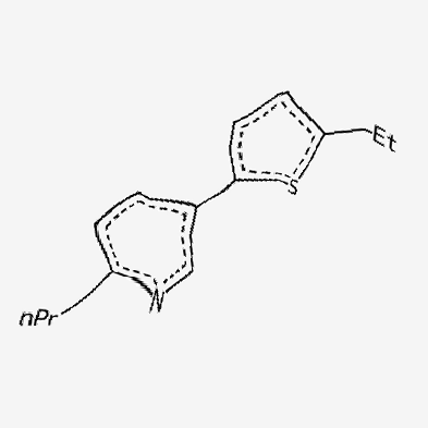 CCCc1ccc(-c2ccc(CC)s2)cn1